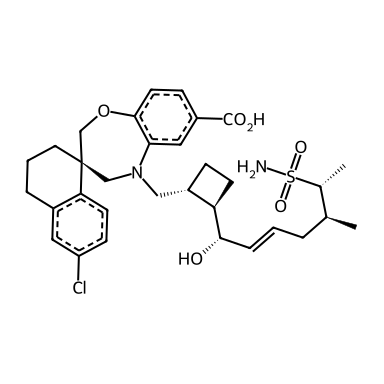 C[C@H]([C@@H](C)C/C=C/[C@H](O)[C@@H]1CC[C@H]1CN1C[C@@]2(CCCc3cc(Cl)ccc32)COc2ccc(C(=O)O)cc21)S(N)(=O)=O